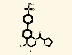 CNS(=O)(=O)c1ccc(-c2ccc3c(c2)N(C(=O)C2CCCO2)C[C@H](C)N3C(C)=O)cc1